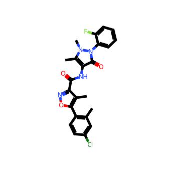 Cc1cc(Cl)ccc1-c1onc(C(=O)Nc2c(C)n(C)n(-c3ccccc3F)c2=O)c1C